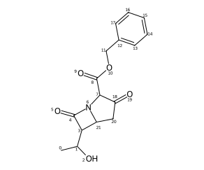 CC(O)C1C(=O)N2C(C(=O)OCc3ccccc3)C(=O)CC12